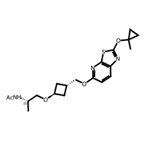 CC(=O)N[C@@H](C)CO[C@H]1C[C@H](COc2ccc3nc(OC4(C)CC4)sc3n2)C1